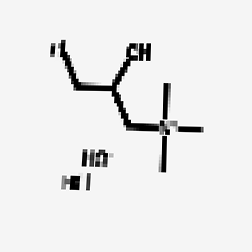 C[N+](C)(C)CC(O)CCl.Cl.[OH-]